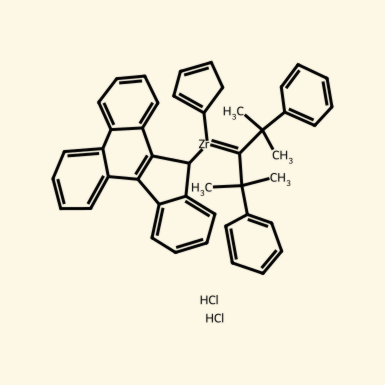 CC(C)([C](=[Zr]([C]1=CC=CC1)[CH]1c2ccccc2-c2c1c1ccccc1c1ccccc21)C(C)(C)c1ccccc1)c1ccccc1.Cl.Cl